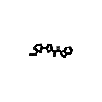 CNc1nccc(-c2ccc(C(=O)NC3CCc4ccccc43)s2)n1